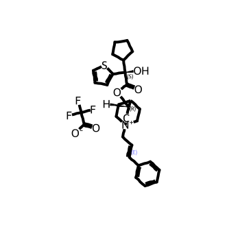 O=C(O[C@H]1C[N+]2(C/C=C/c3ccccc3)CCC1CC2)[C@](O)(c1cccs1)C1CCCC1.O=C([O-])C(F)(F)F